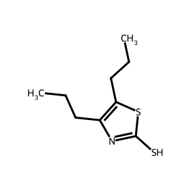 CCCc1nc(S)sc1CCC